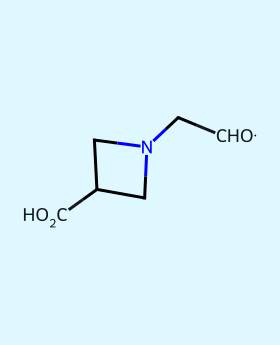 O=[C]CN1CC(C(=O)O)C1